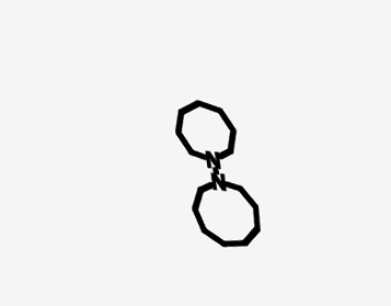 C1CCCCN(N2CCCCCCC2)CCC1